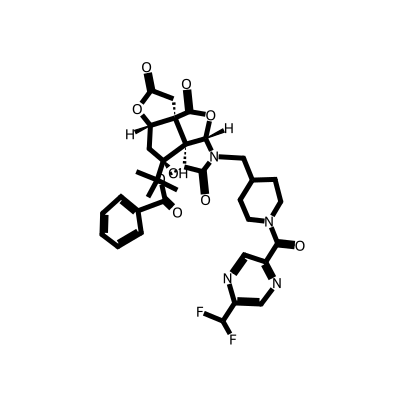 CC(C)(C)[C@]1(O)C[C@@H]2OC(=O)C[C@@]23C(=O)O[C@@H]2N(CC4CCN(C(=O)c5cnc(C(F)F)cn5)CC4)C(=O)[C@H](OC(=O)c4ccccc4)[C@]213